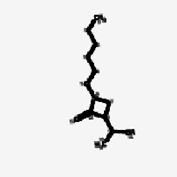 CCCCCON1CC(C(C)O)C1=O